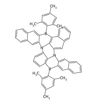 Cc1cc(C)c(B2c3cc4ccccc4cc3N3c4cc5ccccc5c5c4N(c4cc6ccccc6cc4B5c4c(C)cc(C)cc4C)c4cccc2c43)c(C)c1